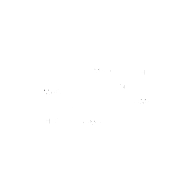 CO[Si](C)(C=C[Si](C)(OC)OC)OC